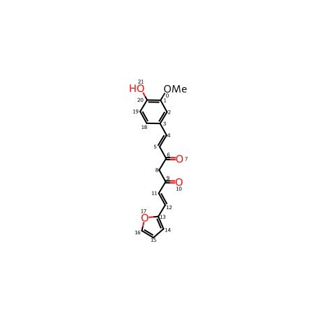 COc1cc(C=CC(=O)CC(=O)C=Cc2ccco2)ccc1O